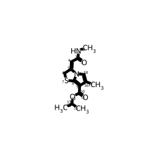 CNC(=O)C=C1CSc2c(C(=O)OC(C)C)c(C)cn21